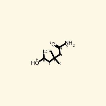 CC(C)(CC(N)=O)CC(O)I